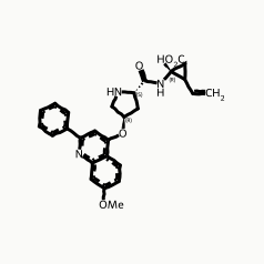 C=CC1C[C@]1(NC(=O)[C@@H]1C[C@@H](Oc2cc(-c3ccccc3)nc3cc(OC)ccc23)CN1)C(=O)O